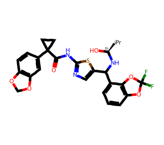 CC(C)[C@H](O)NC(c1cnc(NC(=O)C2(c3ccc4c(c3)OCO4)CC2)s1)c1cccc2c1OC(F)(F)O2